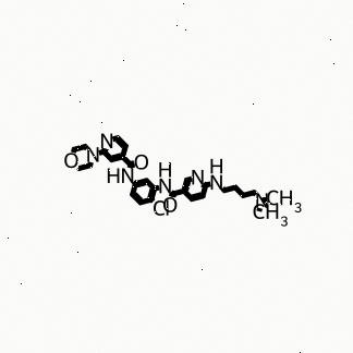 CN(C)CCCCNc1ccc(C(=O)Nc2cc(NC(=O)c3ccnc(N4CCOCC4)c3)ccc2Cl)cn1